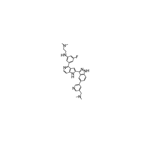 CN(C)CCNc1cc(F)cc(-c2nccc3[nH]c(-c4n[nH]c5ccc(-c6cncc(CN(C)C)c6)cc45)cc23)c1